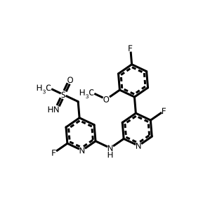 COc1cc(F)ccc1-c1cc(Nc2cc(CS(C)(=N)=O)cc(F)n2)ncc1F